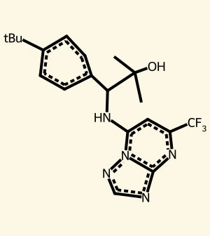 CC(C)(C)c1ccc(C(Nc2cc(C(F)(F)F)nc3ncnn23)C(C)(C)O)cc1